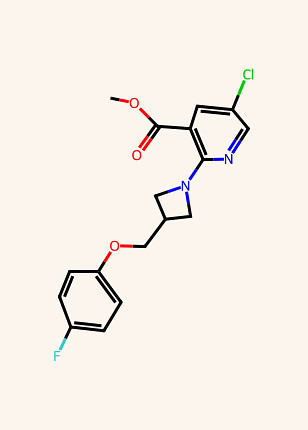 COC(=O)c1cc(Cl)cnc1N1CC(COc2ccc(F)cc2)C1